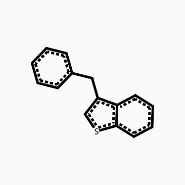 [CH](c1ccccc1)c1csc2ccccc12